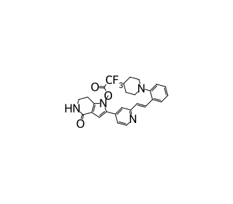 O=C1NCCc2c1cc(-c1ccnc(C=Cc3ccccc3N3CCCCC3)c1)n2OC(=O)C(F)(F)F